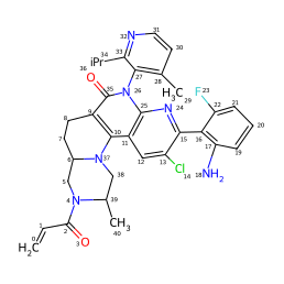 C=CC(=O)N1CC2CCc3c(c4cc(Cl)c(-c5c(N)cccc5F)nc4n(-c4c(C)ccnc4C(C)C)c3=O)N2CC1C